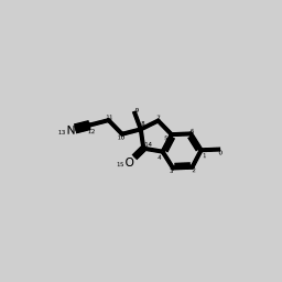 Cc1ccc2c(c1)CC(C)(CCC#N)C2=O